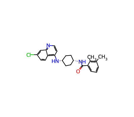 Cc1cccc(C(=O)N[C@H]2CC[C@@H](Nc3ccnc4cc(Cl)ccc34)CC2)c1C